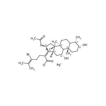 CC(=O)O[C@H]1C[C@@]2(C)[C@H](C[C@@H](O)C3[C@@]4(C)CC[C@@H](O)[C@@H](C)C4CC[C@@]32C)C1=C(CCC(Br)=C(C)C)C(=O)[O-].[Ag+]